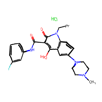 CC(C)Cn1c(=O)c(C(=O)Nc2cccc(F)c2)c(O)c2cc(N3CCN(C)CC3)ccc21.Cl